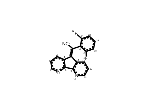 N#CC(=C1c2cccnc2-c2ncccc21)c1c(F)cccc1F